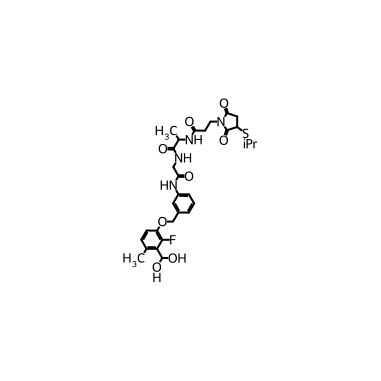 Cc1ccc(OCc2cccc(NC(=O)CNC(=O)C(C)NC(=O)CCN3C(=O)CC(SC(C)C)C3=O)c2)c(F)c1C(O)O